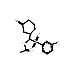 CC(=O)OC(C1CCCC(=O)C1)S(=O)(=O)c1cccc(Cl)c1